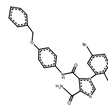 Cc1ccc(Br)cc1-n1cnc(C(N)=O)c1C(=O)Nc1ccc(OCc2ccccc2)cc1